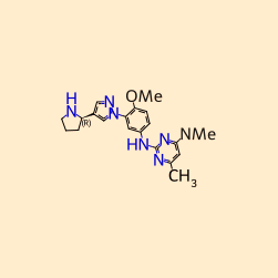 CNc1cc(C)nc(Nc2ccc(OC)c(-n3cc([C@H]4CCCN4)cn3)c2)n1